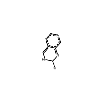 [2H]C1N=c2cncnc2=CN1